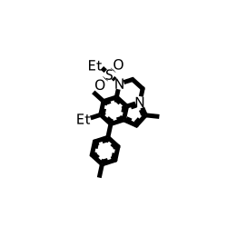 CCc1c(C)c2c3c(cc(C)n3CCN2S(=O)(=O)CC)c1-c1ccc(C)cc1